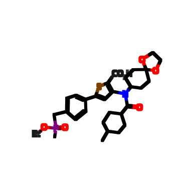 CCOP(C)(=O)Cc1ccc(-c2cc(N(C(=O)C3CCC(C)CC3)C3CCC4(CC3)OCCO4)c(C(=O)O)s2)cc1